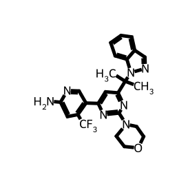 CC(C)(c1cc(-c2cnc(N)cc2C(F)(F)F)nc(N2CCOCC2)n1)n1ncc2ccccc21